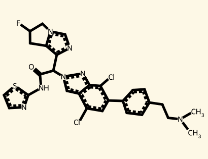 CN(C)CCc1ccc(-c2cc(Cl)c3cn(C(C(=O)Nc4nccs4)c4ncn5c4CC(F)C5)nc3c2Cl)cc1